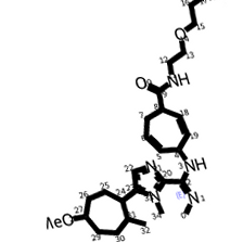 C/N=C(/NC1C=CCC(C(=O)NCCOCCN)C=C1)c1ncc(C2CCC(OC)CCC2C)n1C